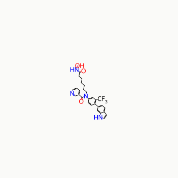 O=C(CCCCCCN(C(=O)c1cccnc1)c1ccc(-c2ccc3cc[nH]c3c2)c(C(F)(F)F)c1)NO